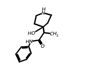 CC(C(=O)Nc1ccccc1)C1(O)CCNCC1